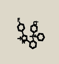 Cn1nc(-c2ccccc2[P+](C)(c2ccccc2)c2ccccc2)cc1-c1ccc(F)cc1.[Cl-]